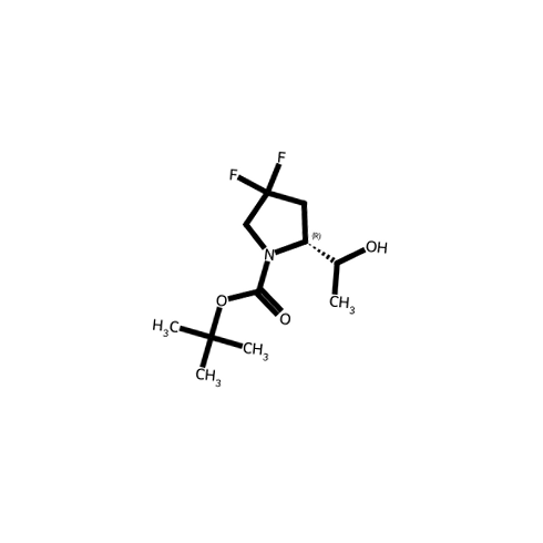 CC(O)[C@H]1CC(F)(F)CN1C(=O)OC(C)(C)C